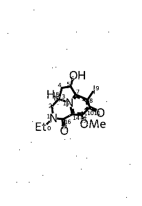 CCN1C[C@H]2CC(O)c3c(I)c(=O)c(OC)c(n32)C1=O